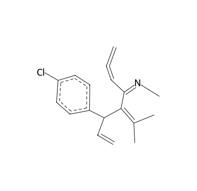 C=C=C/C(=N/C)C(=C(C)C)C(C=C)c1ccc(Cl)cc1